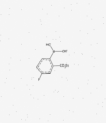 CCOC(=O)c1cc(F)ccc1B(O)O